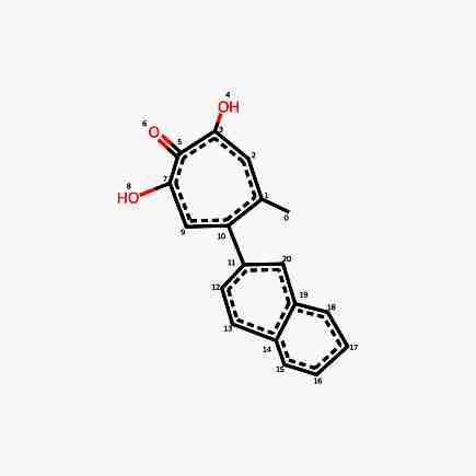 Cc1cc(O)c(=O)c(O)cc1-c1ccc2ccccc2c1